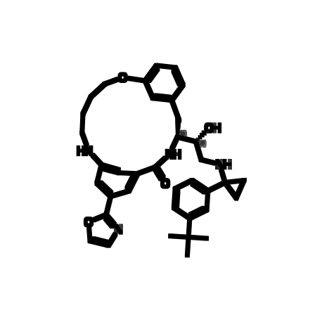 CC(C)(C)c1cccc(C2(NC[C@@H](O)[C@@H]3Cc4cccc(c4)OCCCCNc4cc(cc(-c5ncco5)c4)C(=O)N3)CC2)c1